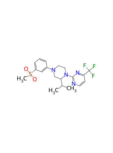 CC(C)C1CN(c2cccc(S(C)(=O)=O)c2)CCN1c1nccc(C(F)(F)F)n1